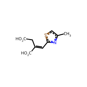 Cc1csc(C=C(CC(=O)O)C(=O)O)n1